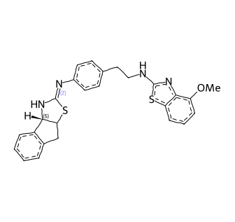 COc1cccc2sc(NCCc3ccc(/N=C4/N[C@H]5c6ccccc6CC5S4)cc3)nc12